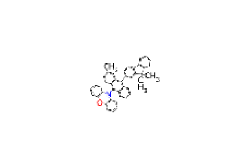 Cc1ccc2c(N3c4ccccc4Oc4ccccc43)c3ccccc3c(-c3ccc4c(c3)C(C)(C)c3ccccc3-4)c2c1